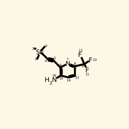 C[Si](C)(C)C#Cc1nc(C(F)(F)F)ccc1N